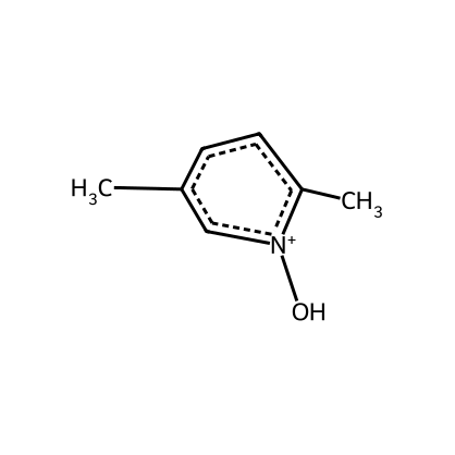 Cc1ccc(C)[n+](O)c1